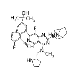 C#Cc1c(F)ccc2cc(C(C)(C)O)cc(-c3ncc4c(N(C)C[C@@H]5CCCN5)nc(N5CC6CCC(C5)N6C)nc4c3F)c12